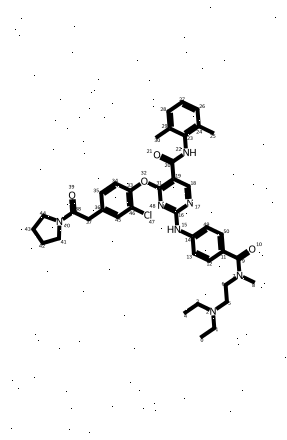 CCN(CC)CCN(C)C(=O)c1ccc(Nc2ncc(C(=O)Nc3c(C)cccc3C)c(Oc3ccc(CC(=O)N4CCCC4)cc3Cl)n2)cc1